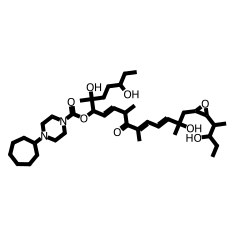 CCC(O)CCC(C)(O)C(C=CC(C)C(=O)C(C)=CC=CC(C)(O)CC1OC1C(C)C(O)CC)OC(=O)N1CCN(C2CCCCCC2)CC1